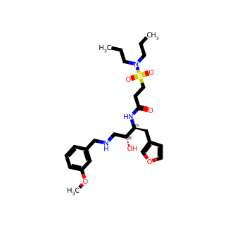 CCCN(CCC)S(=O)(=O)CCC(=O)N[C@@H](Cc1ccoc1)[C@H](O)CNCc1cccc(OC)c1